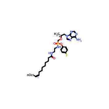 CCCCCCCC/C=C\CCCCCCCC(=O)NCCNP(=O)(CO[C@H](C)Cn1cnc2c(N)ncnc21)Oc1ccc(F)cc1